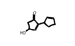 O=C1CC(O)C=C1C1C=CCC1